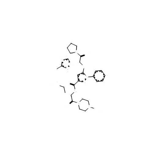 CCOC(=O)N1CCN(C(=O)[C@H](CCC(=O)O)NC(=O)c2cc(OCC(=O)N3CCC[C@H]3c3nc(C)no3)n(-c3ccccc3)n2)CC1